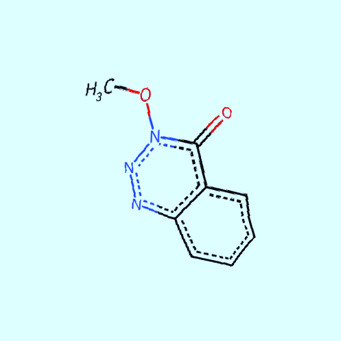 COn1nnc2ccccc2c1=O